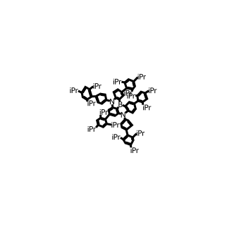 CC(C)c1cc(C(C)C)c(-c2ccc(N3c4ccc(-c5c(C(C)C)cc(C(C)C)cc5C(C)C)cc4B4c5cc(-c6c(C(C)C)cc(C(C)C)cc6C(C)C)ccc5N(c5ccc(-c6c(C(C)C)cc(C(C)C)cc6C(C)C)cc5)c5cc(-c6c(C(C)C)cc(C(C)C)cc6C(C)C)cc3c54)cc2)c(C(C)C)c1